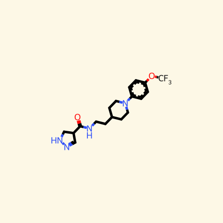 O=C(NCCC1CCN(c2ccc(OC(F)(F)F)cc2)CC1)C1C=NNC1